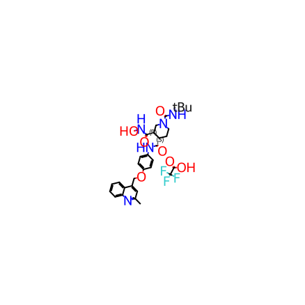 Cc1cc(COc2ccc(NC(=O)[C@H]3CCN(C(=O)NC(C)(C)C)C[C@@H]3C(=O)NO)cc2)c2ccccc2n1.O=C(O)C(F)(F)F